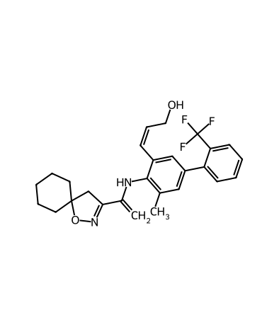 C=C(Nc1c(C)cc(-c2ccccc2C(F)(F)F)cc1/C=C\CO)C1=NOC2(CCCCC2)C1